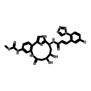 COC(=O)Nc1ccc2c(c1)NC(=O)CC(O)C(O)C[C@H](NC(=O)/C=C/c1cc(Cl)ccc1-n1cnnn1)c1nc-2c[nH]1